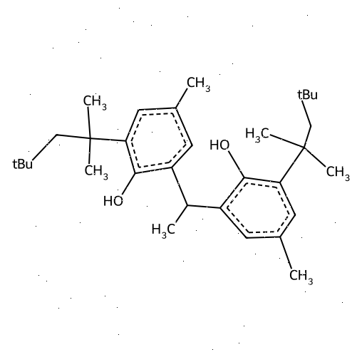 Cc1cc(C(C)c2cc(C)cc(C(C)(C)CC(C)(C)C)c2O)c(O)c(C(C)(C)CC(C)(C)C)c1